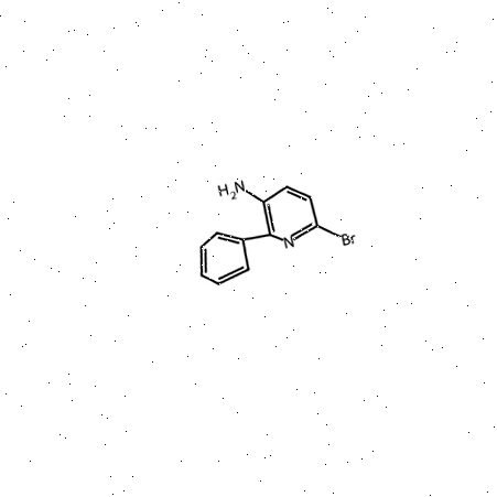 Nc1ccc(Br)nc1-c1ccccc1